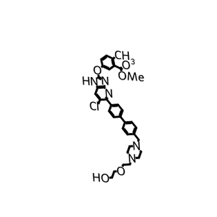 COC(=O)c1cc(Oc2nc3nc(-c4ccc(-c5ccc(CN6CCN(CCOCCO)CC6)cc5)cc4)c(Cl)cc3[nH]2)ccc1C